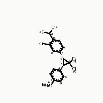 COc1ccc([C@H]2[C@H](c3ccc(C(F)F)c(F)c3)C2(Cl)Cl)cc1